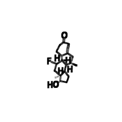 C[C@@H]1CC2=CC(=O)CC[C@@H]2[C@H]2C(F)C[C@]3(C)[C@@H](O)CC[C@H]3[C@@H]21